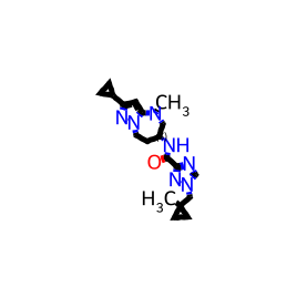 CN1C[C@@H](NC(=O)c2ncn(CC3(C)CC3)n2)CCn2nc(C3CC3)cc21